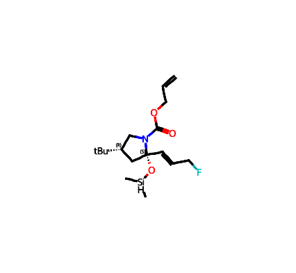 C=CCOC(=O)N1C[C@@H](C(C)(C)C)C[C@@]1(C=CCF)O[SiH](C)C